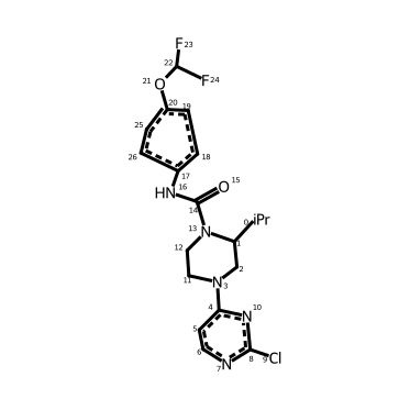 CC(C)C1CN(c2ccnc(Cl)n2)CCN1C(=O)Nc1ccc(OC(F)F)cc1